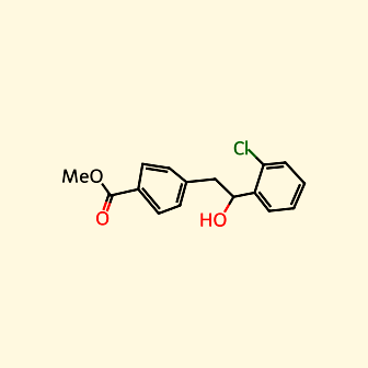 COC(=O)c1ccc(CC(O)c2ccccc2Cl)cc1